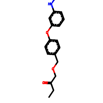 CCC(=O)COCc1ccc(Oc2cccc(NC)c2)cc1